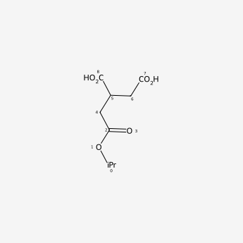 CC(C)OC(=O)CC(CC(=O)O)C(=O)O